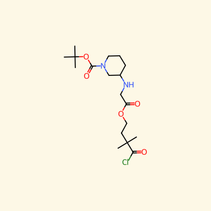 CC(C)(C)OC(=O)N1CCCC(NCC(=O)OCCC(C)(C)C(=O)Cl)C1